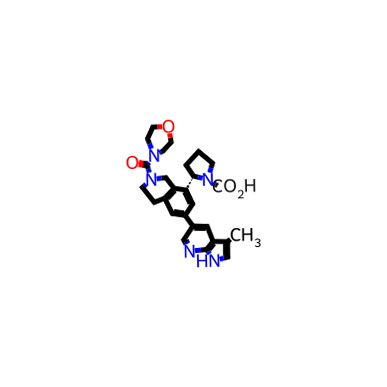 Cc1c[nH]c2ncc(-c3cc4c(c([C@@H]5CCCN5C(=O)O)c3)CN(C(=O)N3CCOCC3)CC4)cc12